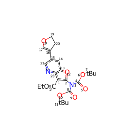 CCOC(=O)c1c(N(C(=O)OC(C)(C)C)C(=O)OC(C)(C)C)oc2cc(C3=COCC3)cnc12